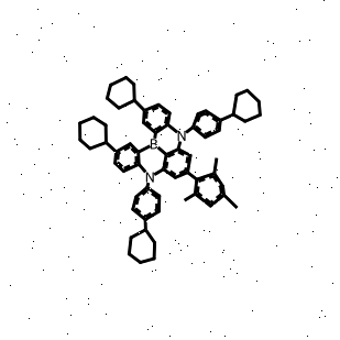 Cc1cc(C)c(-c2cc3c4c(c2)N(c2ccc(C5CCCCC5)cc2)c2ccc(C5CCCCC5)cc2B4c2cc(C4CCCCC4)ccc2N3c2ccc(C3CCCCC3)cc2)c(C)c1